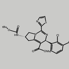 COC(=O)C1=C2C[C@H](NC(=O)OC(C)(C)C)CN2C(c2nccs2)=N[C@H]1c1cccc(F)c1Cl